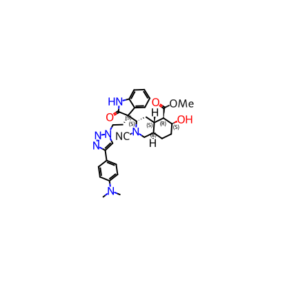 COC(=O)[C@@H]1[C@H]2C[C@@H]([C@@]3(CCn4cc(-c5ccc(N(C)C)cc5)nn4)C(=O)Nc4ccccc43)N(C#N)C[C@@H]2CC[C@@H]1O